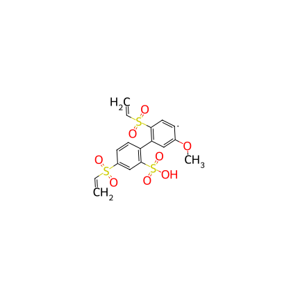 C=CS(=O)(=O)c1ccc(-c2cc(OC)[c]cc2S(=O)(=O)C=C)c(S(=O)(=O)O)c1